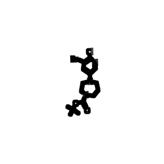 CC(C)(C)OC(=O)N1CCCN(c2cnc(Cl)c(Br)c2)CC1